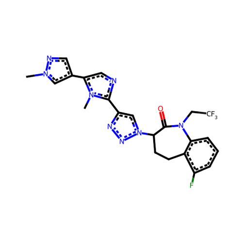 Cn1cc(-c2cnc(-c3cn(C4CCc5c(F)cccc5N(CC(F)(F)F)C4=O)nn3)n2C)cn1